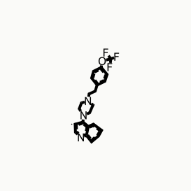 FC(F)(F)Oc1ccc(CCN2CCN(c3[c]cnc4ccccc34)CC2)cc1